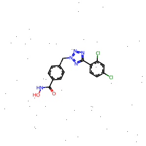 O=C(NO)c1ccc(Cn2nnc(-c3ccc(Cl)cc3Cl)n2)cc1